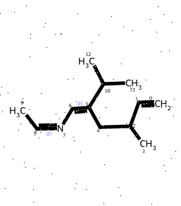 C=CC(C)C/C(=C\N=C/C)C(C)C